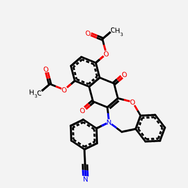 CC(=O)Oc1ccc(OC(C)=O)c2c1C(=O)C1=C(C2=O)N(c2cccc(C#N)c2)Cc2ccccc2O1